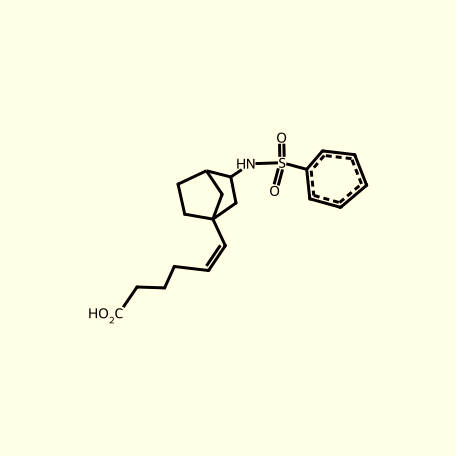 O=C(O)CCC/C=C\C12CCC(C1)C(NS(=O)(=O)c1ccccc1)C2